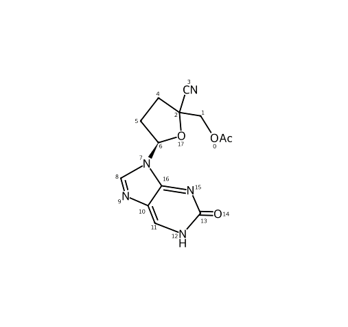 CC(=O)OCC1(C#N)CC[C@H](n2cnc3c[nH]c(=O)nc32)O1